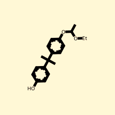 CCOC(C)Oc1ccc(C(C)(C)c2ccc(O)cc2)cc1